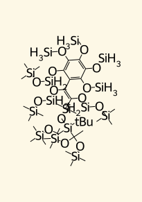 CC(C)(C)[Si](CO[Si](C)(C)C)(O[Si](C)(C)C(O[SiH2]O[Si](C)(C)C)=C(O[SiH2]O[Si](C)(C)C)c1c(O[SiH3])c(O[SiH3])c(O[SiH3])c(O[SiH3])c1O[SiH2]O[Si](C)(C)C)C(C)(O[Si](C)(C)C)O[Si](C)(C)C